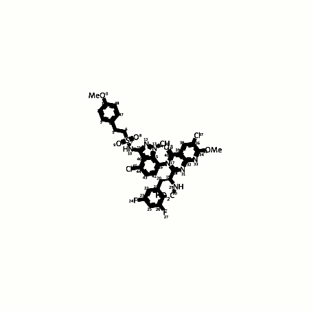 COc1ccc(CCS(=O)(=O)Nc2nn(C)c3c(-n4c([C@H](Cc5cc(F)cc(F)c5)NC(=O)O)nc5nc(OC)c(Cl)cc5c4=O)ccc(Cl)c23)cc1